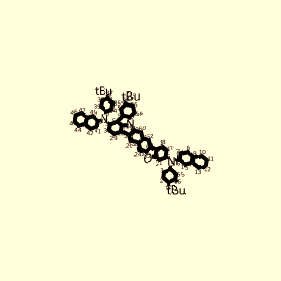 CC(C)(C)c1ccc(N(c2ccc3ccccc3c2)c2ccc3c(c2)oc2cc4cc5c6ccc(N(c7ccc(C(C)(C)C)cc7)c7ccc8ccccc8c7)c7c8cc(C(C)(C)C)ccc8n(c5cc4cc23)c67)cc1